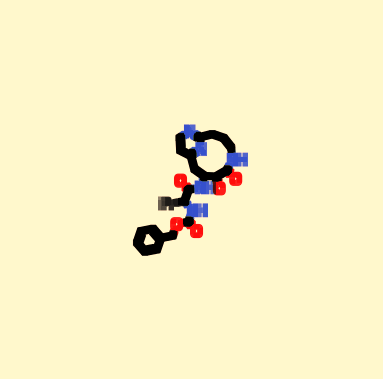 CC(C)C(NC(=O)OCc1ccccc1)C(=O)NC1Cc2ccnc(n2)CCCNC(=O)C1=O